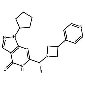 C[C@H](c1nc2c(cnn2C2CCCC2)c(=O)[nH]1)N1CC(c2ccncc2)C1